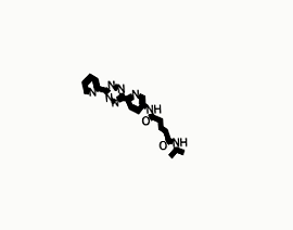 CC(C)NC(=O)CCCC(=O)Nc1ccc(-c2nnc(-c3ccccn3)nn2)nc1